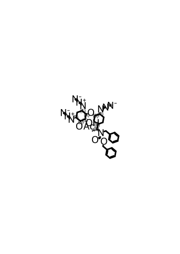 CC(=O)O[C@@H]1[C@@H](O)[C@H](O[C@H]2C[C@H]([C@H](C)N(Cc3ccccc3)C(=O)OCc3ccccc3)CC[C@H]2N=[N+]=[N-])[C@@H](N=[N+]=[N-])C[C@H]1N=[N+]=[N-]